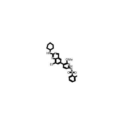 CCc1cc(-c2ccc(NS(=O)(=O)c3ccccc3C)nc2OC)cc2cnc(NC3CC[CH]CC3)nc12